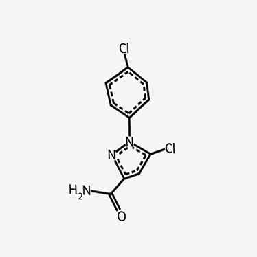 NC(=O)c1cc(Cl)n(-c2ccc(Cl)cc2)n1